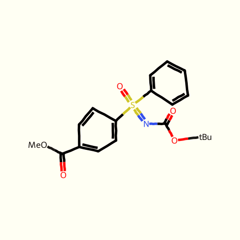 COC(=O)c1ccc(S(=O)(=NC(=O)OC(C)(C)C)c2ccccc2)cc1